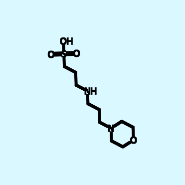 O=S(=O)(O)CCCNCCCN1CCOCC1